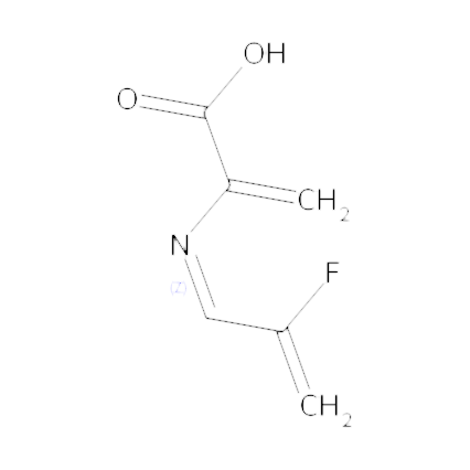 C=C(F)/C=N\C(=C)C(=O)O